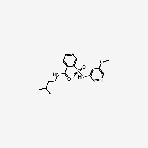 COc1cncc(NS(=O)(=O)c2ccccc2C(=O)NCCC(C)C)c1